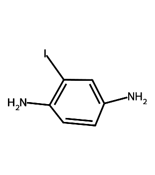 Nc1ccc(N)c(I)c1